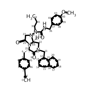 C#Cc1ccc(C[C@H]2C(=O)N(Cc3cccc4ccccc34)C[C@H]3N2C(=O)CN3N(CCC)C(=O)NCc2ccc(OC)cc2)cc1